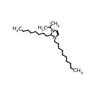 CCCCCCCCCCN1C=CN(C(C)C)C1CCCCCCCC